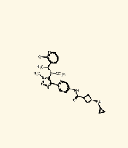 CC(c1cccnc1Cl)N(C(=O)O)c1c(-c2ccc(NC(=O)C3CC(NC4CC4)C3)cn2)nnn1C